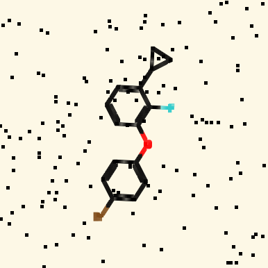 Fc1c(Oc2ccc(Br)cc2)cccc1C1CC1